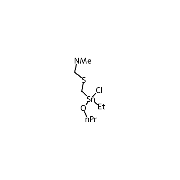 CCC[O][Sn]([Cl])([CH2]C)[CH2]SCNC